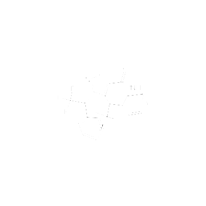 NC(=O)c1onc(C(c2ccccc2)C(F)(F)F)c1C(c1ccccc1)C(F)(F)F